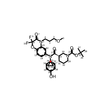 COCCCN1C(=O)C(F)(F)Oc2ccc(N(C(=O)[C@H]3CN(C(=O)OC(C)(C)C)CC[C@@H]3c3cccc(O)c3)C3CC3)cc21